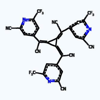 N#CC(=C1C(=C(C#N)c2cc(C#N)nc(C(F)(F)F)c2)C1=C(C#N)c1cc(C#N)nc(C(F)(F)F)c1)c1cc(C#N)nc(C(F)(F)F)c1